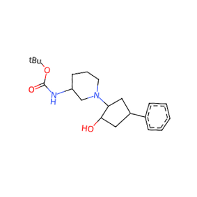 CC(C)(C)OC(=O)NC1CCCN(C2CC(c3ccccc3)CC2O)C1